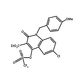 CCOC(=O)c1c(OS(=O)(=O)C(F)(F)F)c2cc(Cl)ccc2n(Cc2ccc(OC)cc2)c1=O